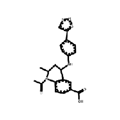 CC(=O)N1c2ccc(C(=O)O)cc2C(Nc2ccc(-c3cnns3)cc2)CC1C